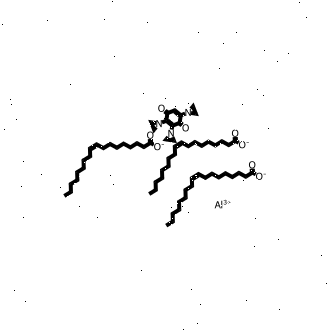 CCCCCCCC/C=C\CCCCCCCC(=O)[O-].CCCCCCCC/C=C\CCCCCCCC(=O)[O-].CCCCCCCC/C=C\CCCCCCCC(=O)[O-].O=C1C=C(N2CC2)C(=O)C(N2CC2)=C1N1CC1.[Al+3]